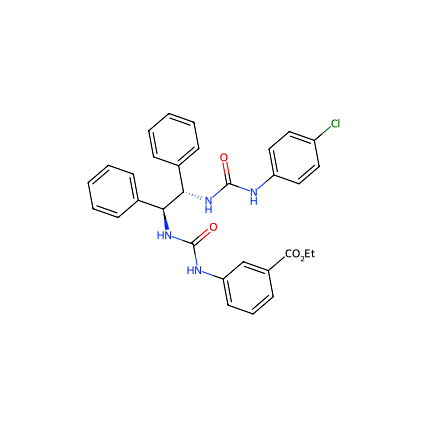 CCOC(=O)c1cccc(NC(=O)N[C@@H](c2ccccc2)[C@@H](NC(=O)Nc2ccc(Cl)cc2)c2ccccc2)c1